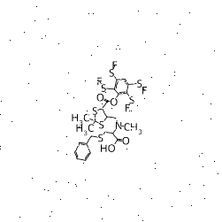 CN(CC1SC(C)(C)SC1C(=O)Oc1c(SF)c(SF)cc(SF)c1SF)C(CSCc1ccccc1)C(=O)O